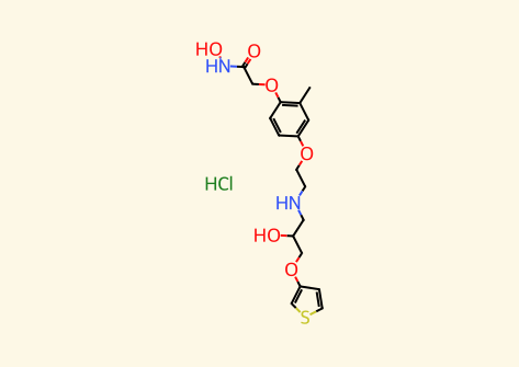 Cc1cc(OCCNCC(O)COc2ccsc2)ccc1OCC(=O)NO.Cl